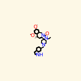 CCN1C(=O)N2Cc3cc(OC)cc(OC)c3[C@@H](C)C=C2C12CCN(Cc1ccc3cc[nH]c3c1)CC2